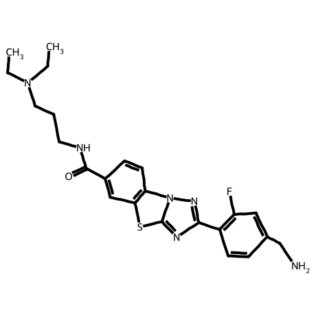 CCN(CC)CCCNC(=O)c1ccc2c(c1)sc1nc(-c3ccc(CN)cc3F)nn12